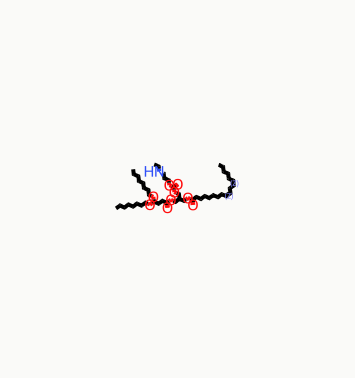 CCCCC/C=C\C/C=C\CCCCCCCC(=O)OCC(COC(=O)CCC(OCCCCCCCC)OCCCCCCCC)COC(=O)OCCCNCC